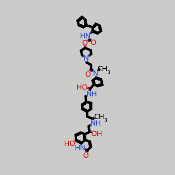 CC(Cc1ccc(CNC(O)c2cccc(N(C)C(=O)CCN3CCC(OC(=O)Nc4ccccc4-c4ccccc4)CC3)c2)cc1)NC[C@H](O)c1ccc(O)c2[nH]c(=O)ccc12